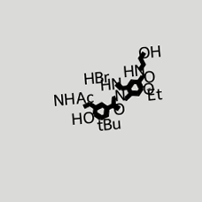 Br.CCOc1cc2c(cc1C(=O)NCCO)C(=N)N(CC(=O)c1cc(C(C)NC(C)=O)c(O)c(C(C)(C)C)c1)C2